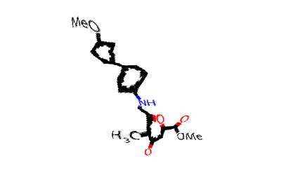 COC(=O)c1cc(=O)c(C)c(CNc2ccc(-c3ccc(OC)cc3)cc2)o1